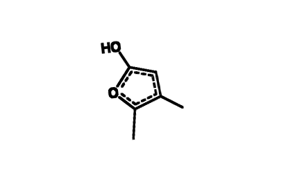 Cc1cc(O)oc1C